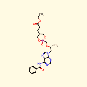 CCOC(=O)CCC1COP(=O)(CO[C@H](C)CN2C=NC3C(NC(=O)c4ccccc4)=NC=NC32)OC1